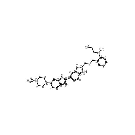 CCN(CCCl)c1ccccc1CCCc1nc2cc(-c3nc4cc(N5CCN(C)CC5)ccc4[nH]3)ccc2[nH]1